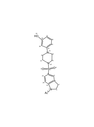 CC(=O)N1CCc2cc(S(=O)(=O)N3CCN(c4cccc(O)c4)CC3)ccc21